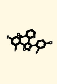 O=Cc1cccnc1-c1c(-c2ccc(Cl)cc2F)noc1-c1ccc(F)cc1F